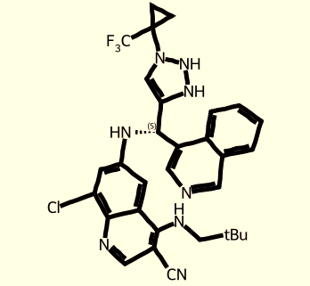 CC(C)(C)CNc1c(C#N)cnc2c(Cl)cc(N[C@H](C3=CN(C4(C(F)(F)F)CC4)NN3)c3cncc4ccccc34)cc12